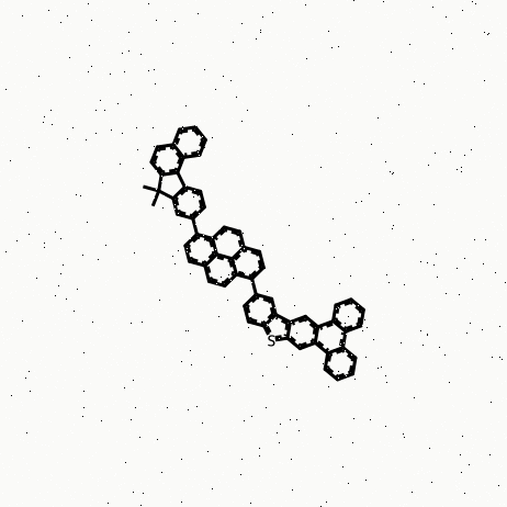 CC1(C)c2cc(-c3ccc4ccc5c(-c6ccc7sc8cc9c%10ccccc%10c%10ccccc%10c9cc8c7c6)ccc6ccc3c4c65)ccc2-c2c1ccc1ccccc21